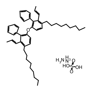 CC=Cc1c(CCCCCCCCC)ccc(Oc2ccc(CCCCCCCCC)c(C=CC)c2-c2ccccc2)c1-c1ccccc1.N.N.O=S(=O)(O)O